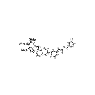 COc1cc(Nc2c(C#N)cnc3cc(-c4cccc(CNCCc5c[nH]cn5)c4)ccc23)cc(OC)c1OC